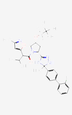 Cc1cc(C(C(=O)N2C[C@H](O[Si](C)(C)C(C)(C)C)C[C@H]2C2=NNC(C)(c3ccc(-c4ccccc4F)cc3)N2)C(C)C)on1